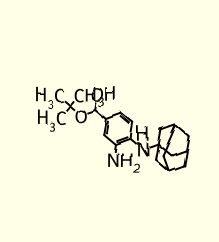 CC(C)(C)OC(O)c1ccc(NC23CC4CC(CC(C4)C2)C3)c(N)c1